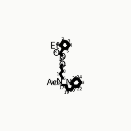 CCc1ccccc1C(=O)OCOCCCCN(Cc1ccc2ccccc2n1)C(C)=O